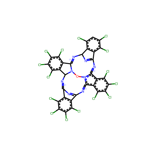 Clc1cc(Cl)c2c(c1Cl)C1=NC2/N=C2/c3c(Cl)c(Cl)c(Cl)c(Cl)c3C3/N=C4N=C(/N=c5/c6c(Cl)c(Cl)c(Cl)c(Cl)c6/c(n5ON23)=N/1)c1c(Cl)c(Cl)c(Cl)c(Cl)c1\4